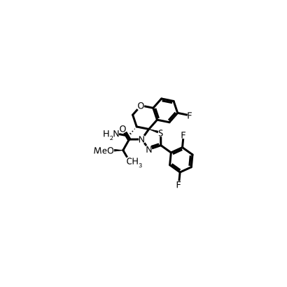 CO[C@H](C)C(=O)N1N=C(c2cc(F)ccc2F)S[C@@]12c1cc(F)ccc1OC[C@H]2CN